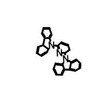 C1=CC2c3ccccc3N(C3=NC(n4c5ccccc5c5ccccc54)CC=C3)C2C=C1